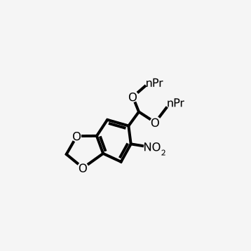 CCCOC(OCCC)c1cc2c(cc1[N+](=O)[O-])OCO2